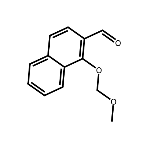 COCOc1c(C=O)ccc2ccccc12